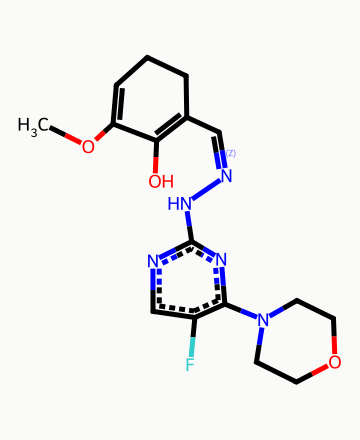 COC1=CCCC(/C=N\Nc2ncc(F)c(N3CCOCC3)n2)=C1O